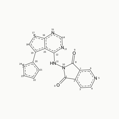 O=C1c2ccncc2C(=O)N1Nc1ncnc2scc(-c3cccs3)c12